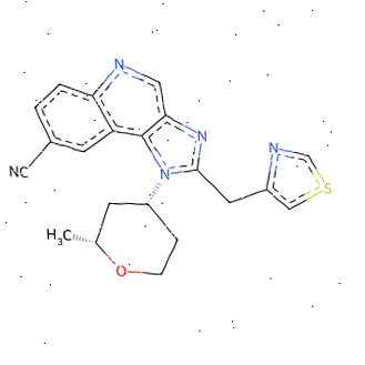 C[C@@H]1C[C@H](n2c(Cc3cscn3)nc3cnc4ccc(C#N)cc4c32)CCO1